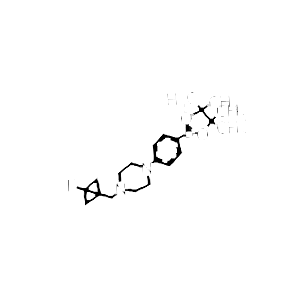 CC1(C)OB(c2ccc(N3CCN(CC45CC4(F)C5)CC3)cc2)OC1(C)C